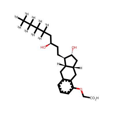 [2H]C([2H])([2H])C([2H])([2H])C([2H])([2H])C([2H])([2H])C[C@H](O)CC[C@@H]1[C@H]2Cc3cccc(OCC(=O)O)c3C[C@H]2C[C@H]1O